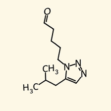 CC(C)Cc1cnnn1CCCCC=O